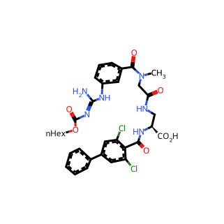 CCCCCCOC(=O)/N=C(\N)Nc1cccc(C(=O)N(C)CC(=O)NC[C@H](NC(=O)c2c(Cl)cc(-c3ccccc3)cc2Cl)C(=O)O)c1